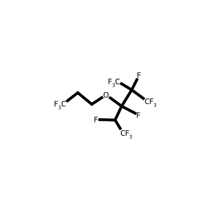 FC(C(F)(F)F)C(F)(OCCC(F)(F)F)C(F)(C(F)(F)F)C(F)(F)F